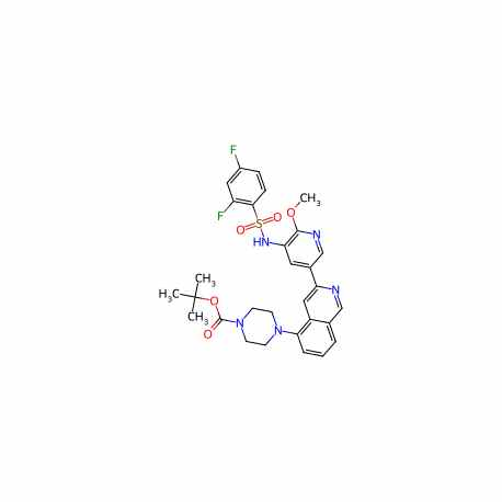 COc1ncc(-c2cc3c(N4CCN(C(=O)OC(C)(C)C)CC4)cccc3cn2)cc1NS(=O)(=O)c1ccc(F)cc1F